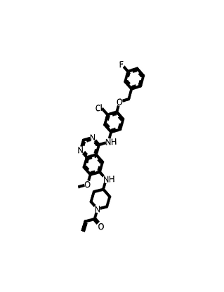 C=CC(=O)N1CCC(Nc2cc3c(Nc4ccc(OCc5cccc(F)c5)c(Cl)c4)ncnc3cc2OC)CC1